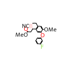 COC(=O)CC1B(C#N)CCc2cc(OC)c(Oc3cccc(F)c3)cc21